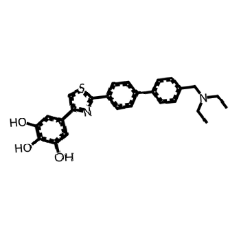 CCN(CC)Cc1ccc(-c2ccc(-c3nc(-c4cc(O)c(O)c(O)c4)cs3)cc2)cc1